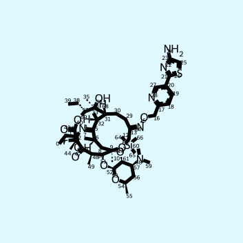 CCC(=O)/N=C1\[C@H](C)C[C@@]2(C)OC/C(=N/OCc3ccc(-c4nc(N)cs4)cn3)CC[C@H]([C@H]1C)[C@](C)(O)[C@@H](CC)OC(=O)[C@@](C)(F)C(=O)[C@H](C)[C@H]2O[C@@H]1O[C@H](C)C[C@H](N(C)C)[C@H]1O[Si](C)(C)C